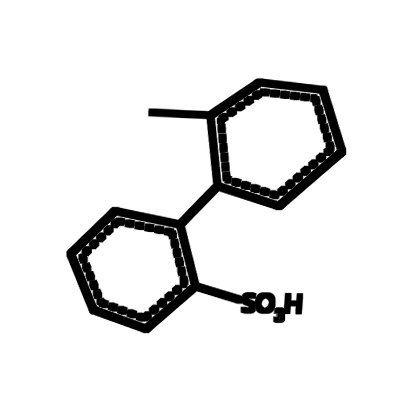 Cc1ccccc1-c1ccccc1S(=O)(=O)O